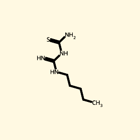 CCCCCNC(=N)NC(N)=S